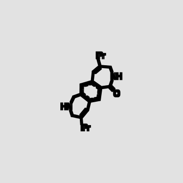 CC(C)C1=Cc2cc3c(cc2CNC1)C=C(C(C)C)CNC3=O